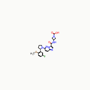 CSc1ccc(F)cc1[C@H]1CCCN1c1ccc2ncc(C(=O)NC3CN(C(=O)O)C3)n2n1